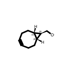 [O]C[C@@H]1[C@H]2CCC#CCC[C@@H]12